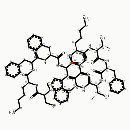 CNC(CS)C(=O)N[C@@H](CCCCN)C(=O)NC(Cc1ccccc1)C(=O)N[C@@H](Cc1ccccc1)C(=O)NC(Cc1c[nH]c2ccccc12)C(=O)N[C@@H](CCCCN)C(=O)N[C@H](C(=O)N[C@@H](Cc1ccccc1)C(=O)N[C@H](C(=O)N[C@@H](CO)C(=O)C(=O)[C@H](CS)NC)[C@@H](C)O)[C@@H](C)O